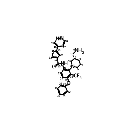 NC[C@@H]1CCCN(c2c(NC(=O)c3csc(-c4ccnnc4)c3)ccc(Oc3ccccc3)c2C(F)(F)F)C1